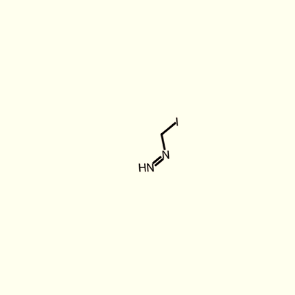 N=NCI